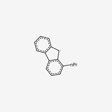 CCCc1cccc2c1[CH]c1ccccc1-2